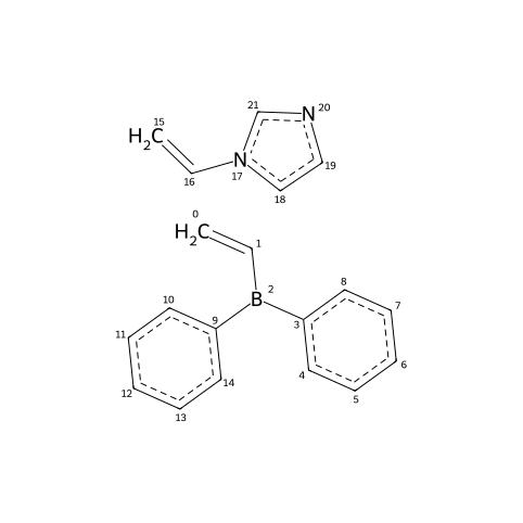 C=CB(c1ccccc1)c1ccccc1.C=Cn1ccnc1